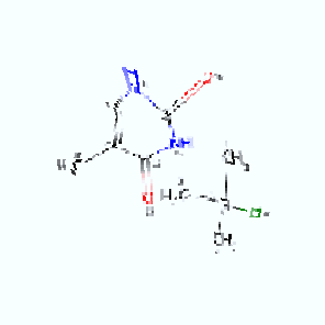 C[Si](C)(C)Cl.Cc1c[nH]c(=O)[nH]c1=O